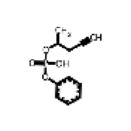 C#CCC(C)OP(=O)(O)Oc1ccccc1